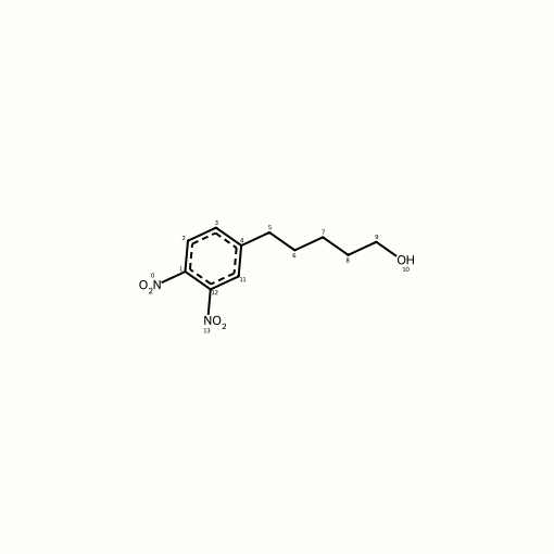 O=[N+]([O-])c1ccc(CCCCCO)cc1[N+](=O)[O-]